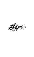 CC(C)CC(CC(C)C)=NNC(=O)c1ccc2ccccc2c1O